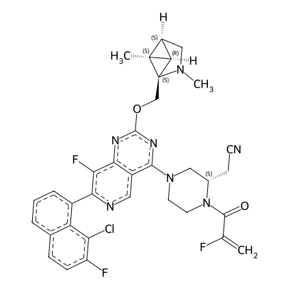 C=C(F)C(=O)N1CCN(c2nc(OC[C@@]34[C@@H]5[C@H](CN3C)[C@@]54C)nc3c(F)c(-c4cccc5ccc(F)c(Cl)c45)ncc23)C[C@@H]1CC#N